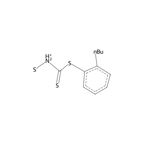 CCCCc1ccccc1SC(=S)[NH2+][S-]